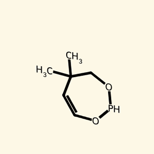 CC1(C)C=COPOC1